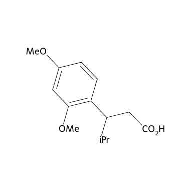 COc1ccc(C(CC(=O)O)C(C)C)c(OC)c1